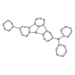 c1ccc(-c2ccc3c(c2)-c2cccc4c2B3c2ccc(N(c3ccccc3)c3ccccc3)cc2-4)cc1